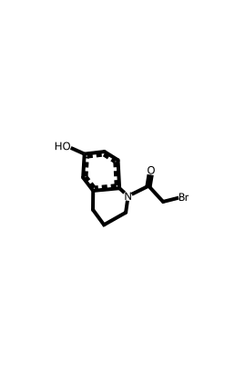 O=C(CBr)N1CCCc2cc(O)ccc21